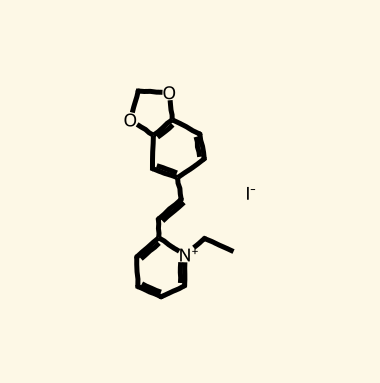 CC[n+]1ccccc1C=Cc1ccc2c(c1)OCO2.[I-]